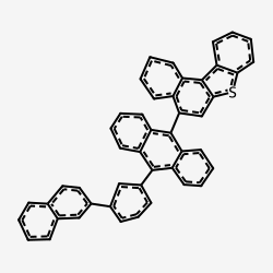 c1cc(-c2ccc3ccccc3c2)cc(-c2c3ccccc3c(-c3cc4sc5ccccc5c4c4ccccc34)c3ccccc23)c1